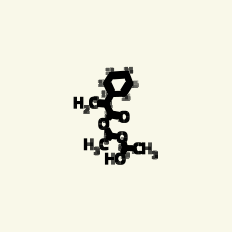 C=C(C(=O)OC(C)OC(C)O)c1ccccc1